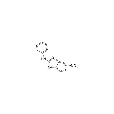 O=[N+]([O-])c1ccc2nc(Nc3ccccc3)sc2c1